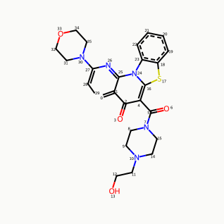 C=C1C(=O)C(C(=O)N2CCN(CCO)CC2)=C2Sc3ccccc3N2/C1=N/C(=C\C)N1CCOCC1